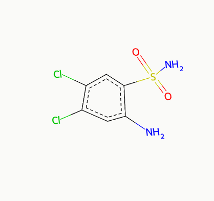 Nc1cc(Cl)c(Cl)cc1S(N)(=O)=O